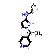 C[C@@H](c1ccncc1)n1ccc(NCC(F)(F)F)n1